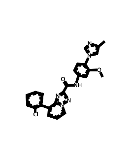 COc1cc(NC(=O)c2nc3c(-c4ccccc4Cl)cccn3n2)ccc1-n1cnc(C)c1